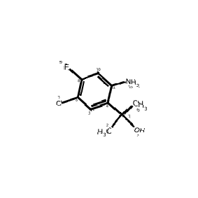 CC(C)(O)c1cc(Cl)c(F)cc1N